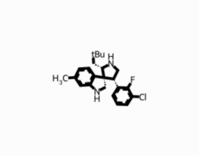 Cc1ccc2c(c1)NC[C@@]21[C@H](CC(C)(C)C)NC[C@@H]1c1cccc(Cl)c1F